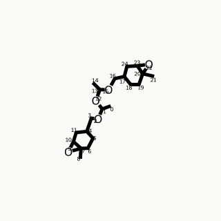 CC(OCC1CCC2(C)OC2C1)OC(C)OCC1CCC2(C)OC2C1